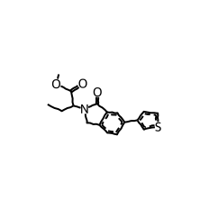 CCC(C(=O)OC)N1Cc2ccc(-c3ccsc3)cc2C1=O